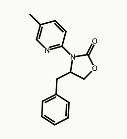 Cc1ccc(N2C(=O)OCC2Cc2ccccc2)nc1